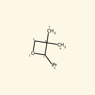 CC(C)C1OCC1(C)C